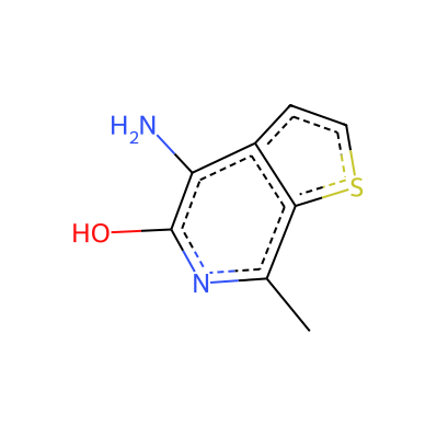 Cc1nc(O)c(N)c2ccsc12